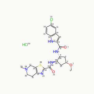 COC1C[C@@H](NC(=O)c2cc3cc(Cl)ccc3[nH]2)[C@H](NC(=O)c2nc3c(s2)CN(C)CC3)C1.Cl